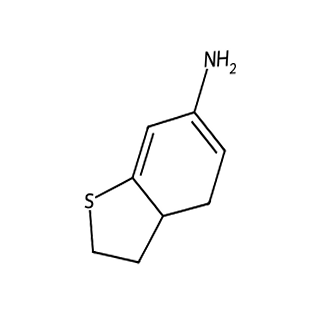 NC1=CCC2CCSC2=C1